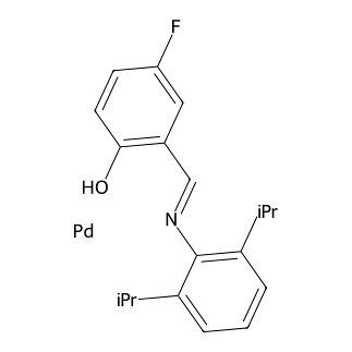 CC(C)c1cccc(C(C)C)c1N=Cc1cc(F)ccc1O.[Pd]